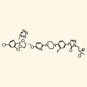 CS(=O)(=O)CCn1ncn(-c2ccc(N3CCN(c4ccc(OC[C@@H]5CO[C@@](Cn6cnnn6)(c6ccc(Cl)cc6Cl)O5)cn4)CC3)c(F)c2)c1=O